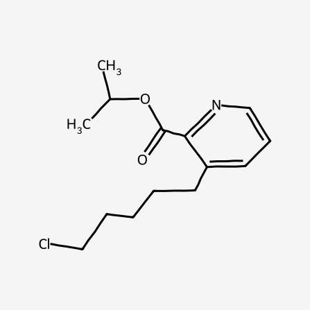 CC(C)OC(=O)c1ncccc1CCCCCCl